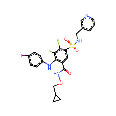 O=C(NOCC1CC1)c1cc(S(=O)(=O)NCc2cccnc2)c(F)c(F)c1Nc1ccc(I)cc1